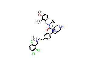 COc1cccc(CN(C(=O)C2=C(c3ccc(CCN(C)Cc4c(Cl)ccc(Cl)c4Cl)cc3)CC3CNC[C@H]2N3)C2CC2)c1C